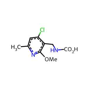 COc1nc(C)cc(Cl)c1CNC(=O)O